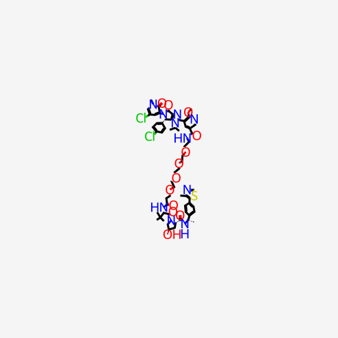 COc1ncc(C(=O)NCCOCCOCCOCCOCCC(=O)N[C@H](C(=O)N2C[C@H](O)C[C@H]2C(=O)N[C@@H](C)c2ccc(-c3scnc3C)cc2)C(C)(C)C)cc1-c1nc2c(n1C(C)C)[C@H](c1ccc(Cl)cc1)N(c1cc(Cl)cn(C)c1=O)C2=O